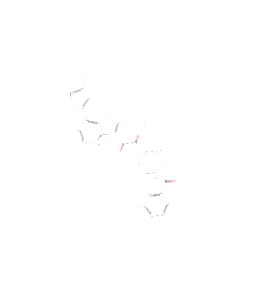 Cc1csc(-c2ccnc3c(C(=O)C(=O)N4CCN(C(=O)c5ccccc5)C[C@H]4C)c[nH]c23)c1